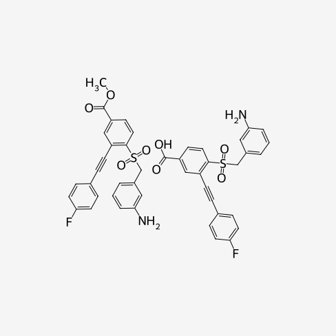 COC(=O)c1ccc(S(=O)(=O)Cc2cccc(N)c2)c(C#Cc2ccc(F)cc2)c1.Nc1cccc(CS(=O)(=O)c2ccc(C(=O)O)cc2C#Cc2ccc(F)cc2)c1